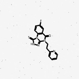 O=c1c2cc(F)ccc2n2c(=S)[nH]nc2n1CCc1ccccn1